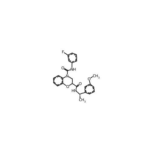 COc1cccc([C@@H](C)NC(=O)C2CN(C(=O)Nc3cccc(F)c3)c3ccccc3O2)c1